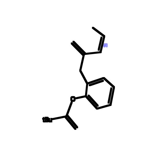 C=C(/C=C\C)Cc1ccccc1OC(=C)C(C)(C)C